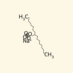 CCCCCCCCCC(CCCCCCCC)COS(=O)(=O)[O-].[Na+]